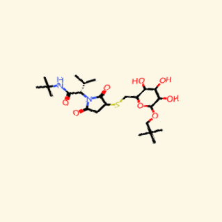 CC(C)[C@@H](C(=O)NC(C)(C)C)N1C(=O)CC(SCC2OC(OCC(C)(C)C)C(O)C(O)C2O)C1=O